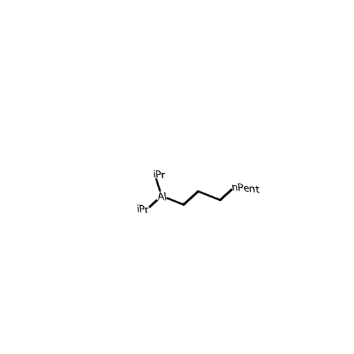 CCCCCCC[CH2][Al]([CH](C)C)[CH](C)C